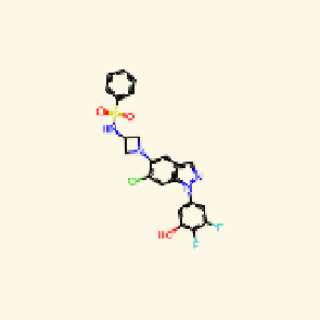 O=S(=O)(NC1CN(c2cc3cnn(-c4cc(O)c(F)c(F)c4)c3cc2Cl)C1)c1ccccc1